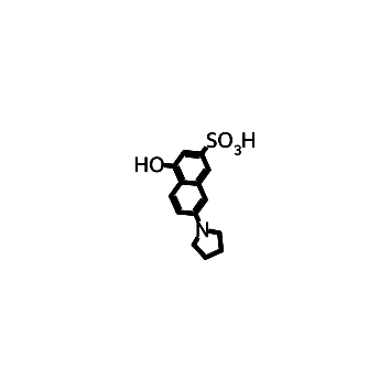 O=S(=O)(O)c1cc(O)c2ccc(N3CCCC3)cc2c1